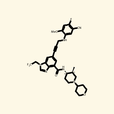 COc1cc(F)c(C#N)cc1NCC#Cc1cc(C(=O)N[C@H]2CCN(C3CCOCC3)C[C@@H]2C)c2ncn(CC(F)(F)F)c2c1